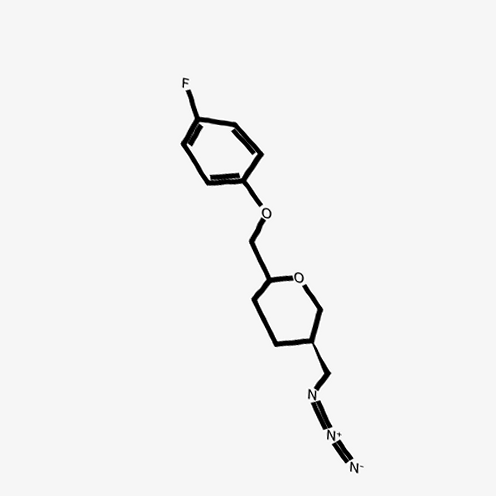 [N-]=[N+]=NC[C@H]1CCC(COc2ccc(F)cc2)OC1